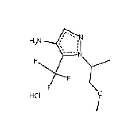 COCC(C)n1ncc(N)c1C(F)(F)F.Cl